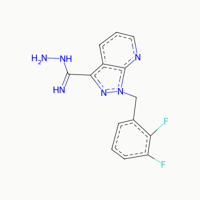 N=C(NN)c1nn(Cc2cccc(F)c2F)c2ncccc12